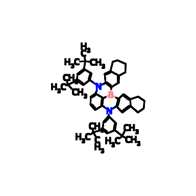 CC(C)(C)c1cc(N2c3cc4c(cc3B3c5cc6c(cc5N(c5cc(C(C)(C)C)cc(C(C)(C)C)c5)c5cccc2c53)CCCC6)CCCC4)cc(C(C)(C)C)c1